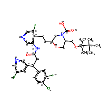 CC(C)(C)[Si](C)(C)OCC1COC(CCc2c(F)cncc2NC(=O)CC(c2cncc(F)c2)c2ccc(Cl)c(F)c2)CN1C(=O)O